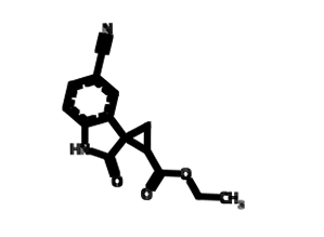 CCOC(=O)C1CC12C(=O)Nc1ccc(C#N)cc12